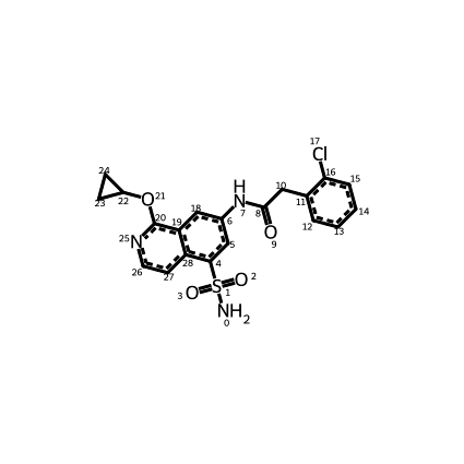 NS(=O)(=O)c1cc(NC(=O)Cc2ccccc2Cl)cc2c(OC3CC3)nccc12